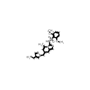 COc1cccc(OC)c1S(=O)(=O)Nc1ncc2cc(Cn3cc(CN)cn3)cc(C)n12